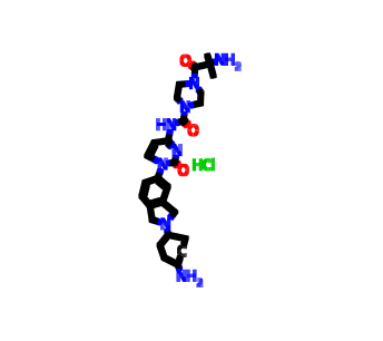 CC(C)(N)C(=O)N1CCN(C(=O)Nc2ccn(-c3ccc4c(c3)CN(C3CCC(N)CC3)C4)c(=O)n2)CC1.Cl